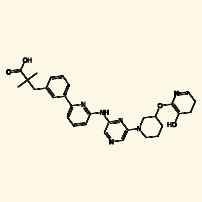 CC(C)(Cc1cccc(-c2cccc(Nc3cncc(N4CCCC(OC5=C(O)CCC=N5)C4)n3)n2)c1)C(=O)O